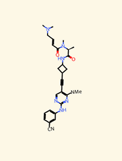 CNc1nc(Nc2cccc(C#N)c2)ncc1C#CC1CC(NC(=O)[C@H](C)N(C)C(=O)/C=C/CN(C)C)C1